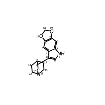 c1[nH]c2cc3c(cc2c1C1CN2CCC1CC2)OCO3